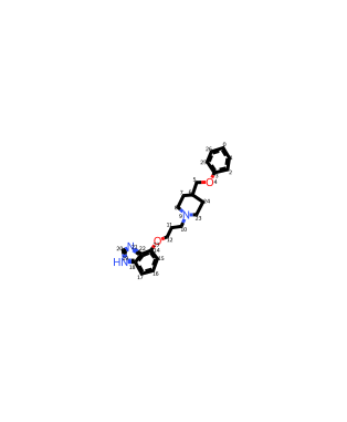 c1ccc(OCC2CCN(CCCOc3cccc4[nH]cnc34)CC2)cc1